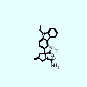 C=C1CN(C(N)=O)C(C(N)=O)(c2ccc3c(c2)c2ccccc2n3CC)C1